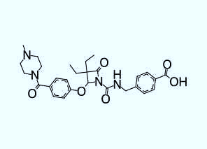 CCC1(CC)C(=O)N(C(=O)NCc2ccc(C(=O)O)cc2)C1Oc1ccc(C(=O)N2CCN(C)CC2)cc1